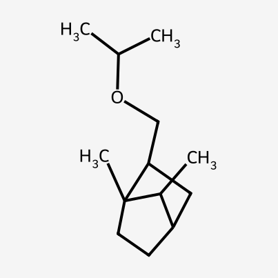 CC(C)OCC1CC2CCC1(C)C2C